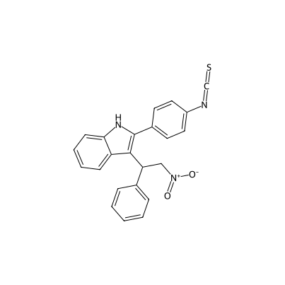 O=[N+]([O-])CC(c1ccccc1)c1c(-c2ccc(N=C=S)cc2)[nH]c2ccccc12